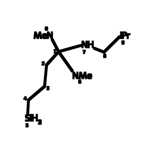 CNC(CCC[SiH3])(NC)NCC(C)C